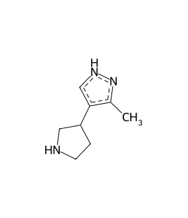 Cc1n[nH]cc1C1CCNC1